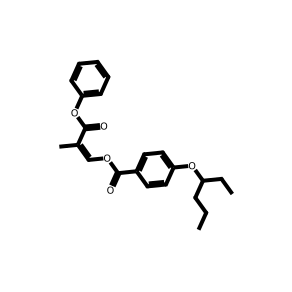 CCCC(CC)Oc1ccc(C(=O)OC=C(C)C(=O)Oc2ccccc2)cc1